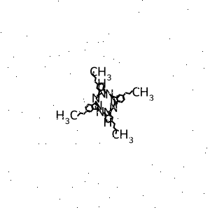 CCCCc1ccc2c(c1)-c1nc-2nc2[nH]c(nc3nc(nc4[nH]c(n1)c1ccc(CCCC)cc41)-c1ccc(CCCC)cc1-3)c1ccc(CCCC)cc21